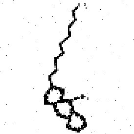 CCCCCCCCCCc1ccc2cc3ccccc3c(N)c2c1